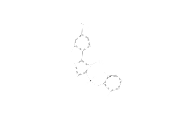 Cn1c(-c2ccc(N)cc2F)nnc1C(C)(C)Oc1c(F)cccc1F